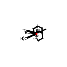 C=C1CC2CC3CC(CC(O)(C2)C3)OC1=O